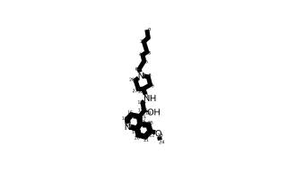 CCCCCCCN1CCC(NC[C@H](O)c2ccnc3ccc(OC)cc23)CC1